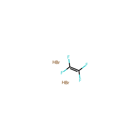 Br.Br.FC(F)=C(F)F